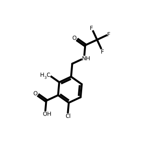 Cc1c(CNC(=O)C(F)(F)F)ccc(Cl)c1C(=O)O